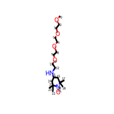 COCCOCCOCCOCCNC1CC(C)(C)N([O])C(C)(C)C1